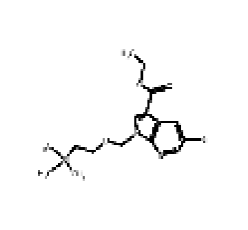 CCOC(=O)c1cn(COCC[Si](C)(C)C)c2ncc(Br)cc12